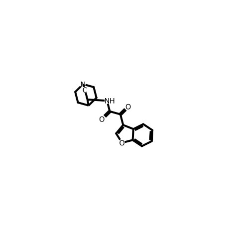 O=C(NC1CN2CCC1CC2)C(=O)c1coc2ccccc12